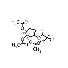 CC(=O)O[C@H]1[C@H](OC(C)=O)COC(OC(=O)C(Cl)(Cl)Cl)[C@@H]1OC(C)=O